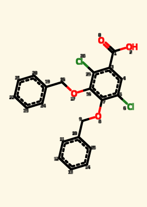 O=C(O)c1cc(Cl)c(OCc2ccccc2)c(OCc2ccccc2)c1Cl